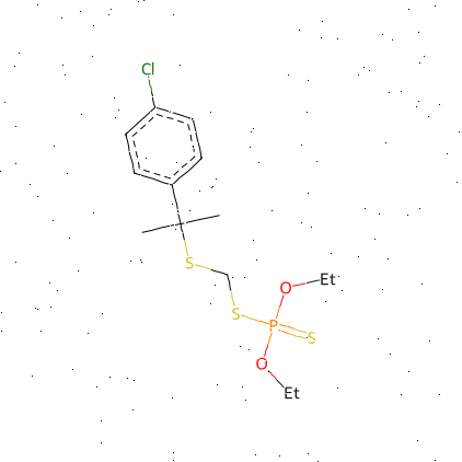 CCOP(=S)(OCC)SCSC(C)(C)c1ccc(Cl)cc1